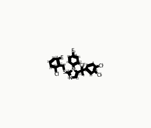 CC(C)(c1ccc(Cl)c(Cl)c1)c1cnc(SCc2c(F)cccc2Cl)n1-c1ccc(F)cc1C(F)(F)F